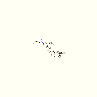 C=CCNCC=C(C)CCC=C(C)CCC=C(C)C